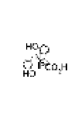 CC(C)c1c(CC(=O)O)c2cccc(O)c2n1Cc1cccc(O)c1